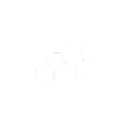 NC(C(=O)Br)c1c(O)sc2ccccc12